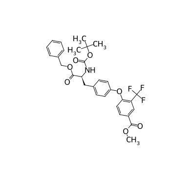 COC(=O)c1ccc(Oc2ccc(C[C@H](NC(=O)OC(C)(C)C)C(=O)OCc3ccccc3)cc2)c(C(F)(F)F)c1